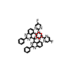 O=C(c1nc(-c2ccccc2)nc2cccc(N3CCN(c4ncc(F)cn4)CC3)c12)c1nc(-c2ccccc2)nc2cccc(N3CCN(c4ncc(F)cn4)CC3)c12